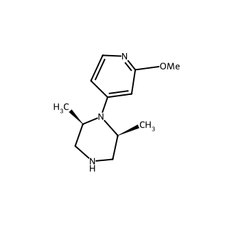 COc1cc(N2[C@H](C)CNC[C@@H]2C)ccn1